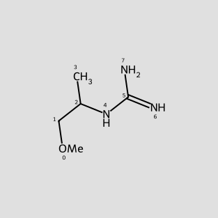 COCC(C)NC(=N)N